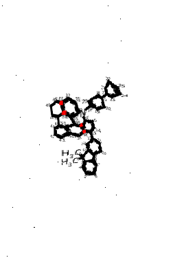 CC1(C)c2ccccc2-c2ccc(-c3ccc(N(c4ccc(-c5ccccc5)cc4)c4ccccc4-c4cccc5cccc(C6CCCCC6)c45)cc3)cc21